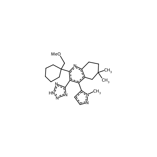 COCC1(c2nc3c(c(-c4ccnn4C)c2-c2nn[nH]n2)CC(C)(C)CC3)CCCCC1